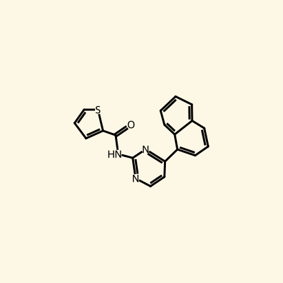 O=C(Nc1nccc(-c2cccc3ccccc23)n1)c1cccs1